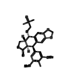 COc1cc([C@@H]2c3cc4c(cc3[C@@H](OCP(C)(C)=O)[C@H]3COC(=O)[C@H]23)OCO4)cc(OC)c1C